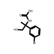 CC(CO)(NC(=O)O)c1cccc(Br)c1